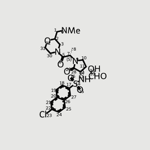 CNCC1CN(C(=O)[C@H](C)N2CC[C@H](NS(=O)(=O)c3ccc4cc(Cl)ccc4c3)C2=O)CCO1.O=CO